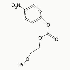 CC(C)OCCOC(=O)Oc1ccc([N+](=O)[O-])cc1